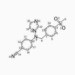 CS(=O)(=O)c1ccc(CN(c2ccc(C#N)cc2)n2ccnc2)cc1